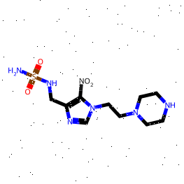 NS(=O)(=O)NCc1ncn(CCN2CCNCC2)c1[N+](=O)[O-]